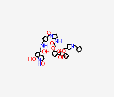 O=C(COc1cccc([C@](O)(C(=O)OCC2CCN(Cc3ccccc3)CC2)c2ccccc2)c1)N[C@H]1CCCN(C(=O)c2ccc(CNC[C@H](O)c3ccc(O)c4[nH]c(=O)ccc34)cc2)C1